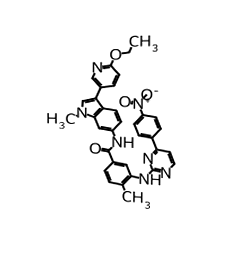 CCOc1ccc(-c2cn(C)c3cc(NC(=O)c4ccc(C)c(Nc5nccc(-c6ccc([N+](=O)[O-])cc6)n5)c4)ccc23)cn1